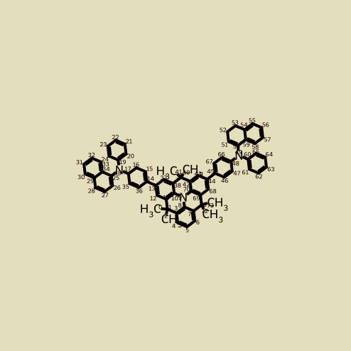 CC1(C)c2cccc3c2N2c4c1cc(C1=CCC(N(c5ccccc5)c5cccc6ccccc56)C=C1)cc4C(C)(C)c1cc(-c4ccc(N(C5=CCCc6ccccc65)c5ccccc5)cc4)cc(c12)C3(C)C